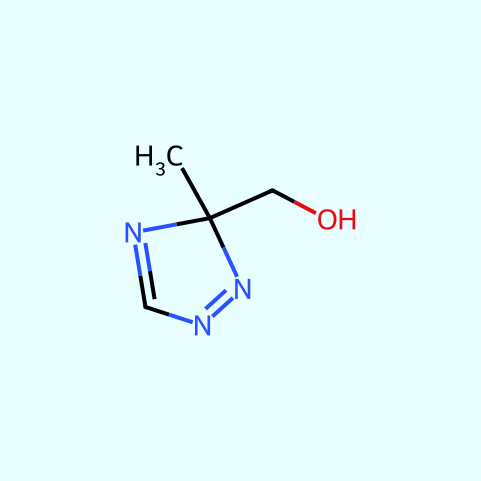 CC1(CO)N=CN=N1